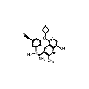 COc1cc(C#N)ccc1[C@H]1C(C(N)=O)=C(C)Nc2c(C)cnc(OC3CCC3)c21